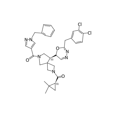 CC1(C)C[C@@H]1C(=O)N1CC2(CN(C(=O)c3cnn(Cc4ccccc4)c3)C[C@H]2C2C=NN=C(Cc3ccc(Cl)c(Cl)c3)O2)C1